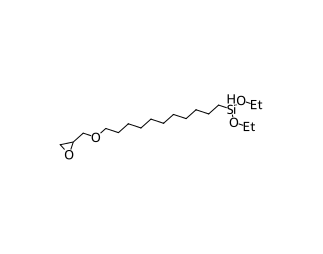 CCO[SiH](CCCCCCCCCCCOCC1CO1)OCC